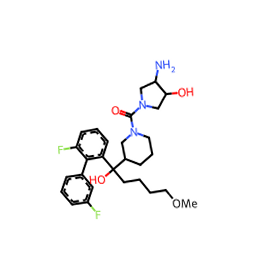 COCCCCC(O)(c1cccc(F)c1-c1cccc(F)c1)C1CCCN(C(=O)N2CC(N)C(O)C2)C1